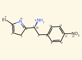 CCC1=CCC([C@@H](N)Cc2ccc([N+](=O)[O-])cc2)=N1